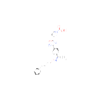 CC(=NOCCCCc1ccccc1)c1ccc(-c2noc([C@@H]3CCN(C(=O)O)C3)n2)cc1